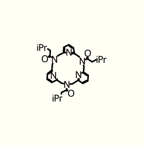 CC(C)CC(=O)N1Cc2cccc(n2)CN(C(=O)CC(C)C)Cc2cccc(n2)CN(C(=O)CC(C)C)Cc2cccc(n2)C1